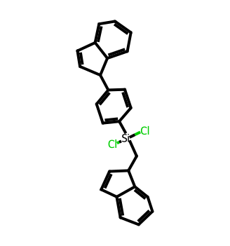 Cl[Si](Cl)(CC1C=Cc2ccccc21)c1ccc(C2C=Cc3ccccc32)cc1